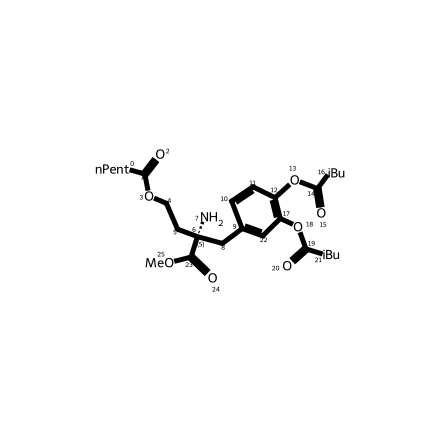 CCCCCC(=O)OCC[C@@](N)(Cc1ccc(OC(=O)C(C)CC)c(OC(=O)C(C)CC)c1)C(=O)OC